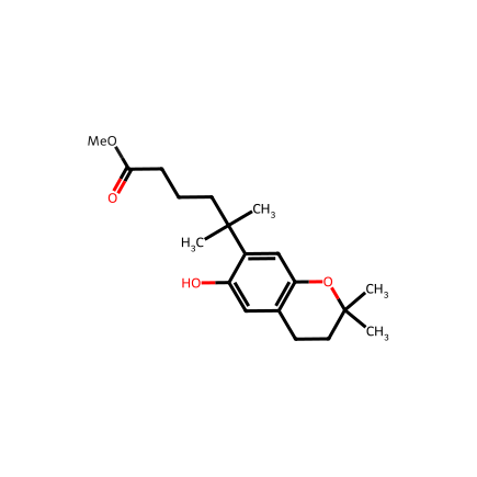 COC(=O)CCCC(C)(C)c1cc2c(cc1O)CCC(C)(C)O2